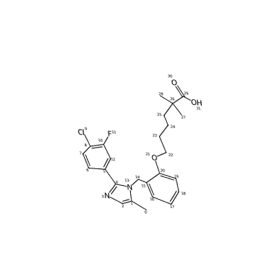 Cc1cnc(-c2ccc(Cl)c(F)c2)n1Cc1ccccc1OCCCCC(C)(C)C(=O)O